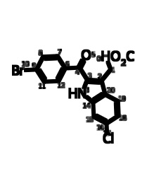 O=C(O)Cc1c(C(=O)c2ccc(Br)cc2)[nH]c2cc(Cl)ccc12